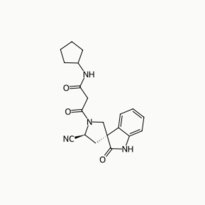 N#C[C@@H]1C[C@@]2(CN1C(=O)CC(=O)NC1CCCC1)C(=O)Nc1ccccc12